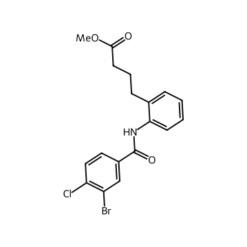 COC(=O)CCCc1ccccc1NC(=O)c1ccc(Cl)c(Br)c1